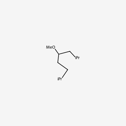 COC(CCC(C)C)CC(C)C